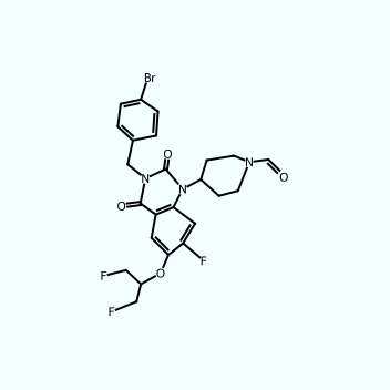 O=CN1CCC(n2c(=O)n(Cc3ccc(Br)cc3)c(=O)c3cc(OC(CF)CF)c(F)cc32)CC1